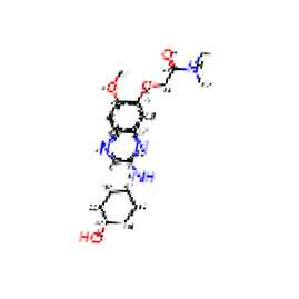 COc1cc2ncc(N[C@H]3CC[C@H](O)CC3)nc2cc1OCC(=O)N(C)C